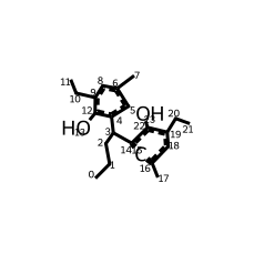 CCCC(c1cc(C)cc(CC)c1O)c1cc(C)cc(CC)c1O